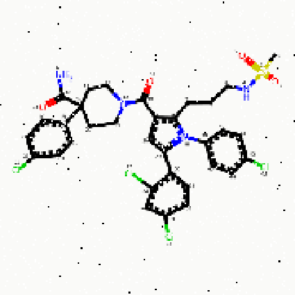 CS(=O)(=O)NCCCc1c(C(=O)N2CCC(C(N)=O)(c3ccc(Cl)cc3)CC2)cc(-c2ccc(Cl)cc2Cl)n1-c1ccc(Cl)cc1